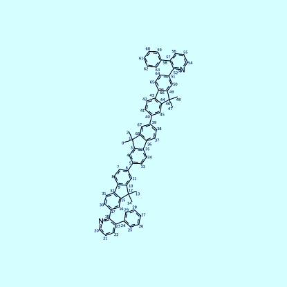 CC1(C)c2cc(-c3ccc4c(c3)C(C)(C)c3cc(-c5ncccc5-c5ccccc5)ccc3-4)ccc2-c2ccc(-c3ccc4c(c3)C(C)(C)c3cc(-c5ncccc5-c5ccccc5)ccc3-4)cc21